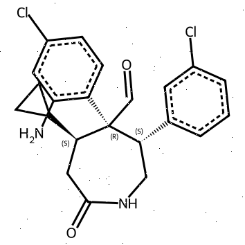 Nc1cc(Cl)ccc1[C@]1(C=O)[C@H](c2cccc(Cl)c2)CNC(=O)C[C@H]1C1CC1